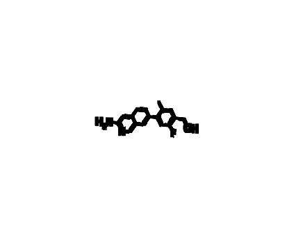 Cc1cc(CO)c(F)cc1-c1ccc2cc(N)ncc2c1